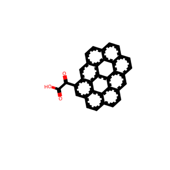 O=C(O)C(=O)c1cc2ccc3ccc4cc5ccc6ccc7ccc8cc1c1c2c3c4c2c5c6c7c8c12